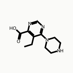 CCc1c(C(=O)O)n[c]nc1N1CCNCC1